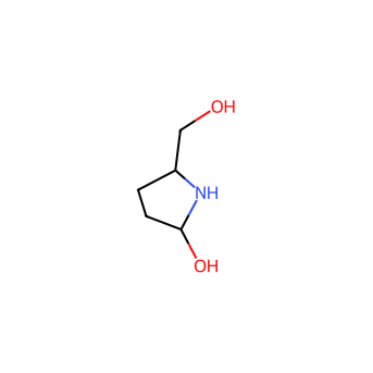 OCC1CCC(O)N1